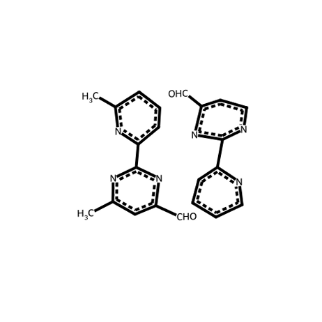 Cc1cccc(-c2nc(C)cc(C=O)n2)n1.O=Cc1ccnc(-c2ccccn2)n1